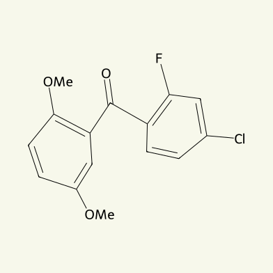 COc1ccc(OC)c(C(=O)c2ccc(Cl)cc2F)c1